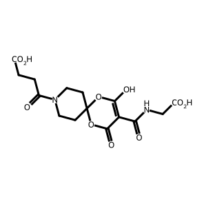 O=C(O)CCC(=O)N1CCC2(CC1)OC(=O)C(C(=O)NCC(=O)O)=C(O)O2